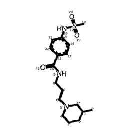 CC1CCCN(CCCNC(=O)c2ccc(NS(C)(=O)=O)cc2)C1